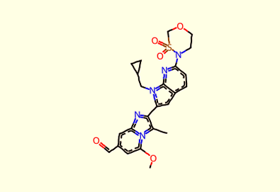 COc1cc(C=O)cc2nc(-c3cc4ccc(N5CCOCS5(=O)=O)nc4n3CC3CC3)c(C)n12